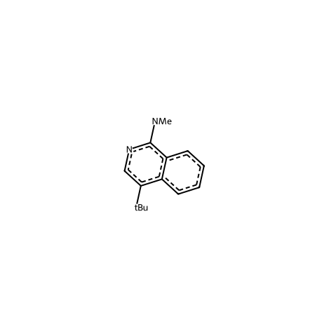 CNc1ncc(C(C)(C)C)c2ccccc12